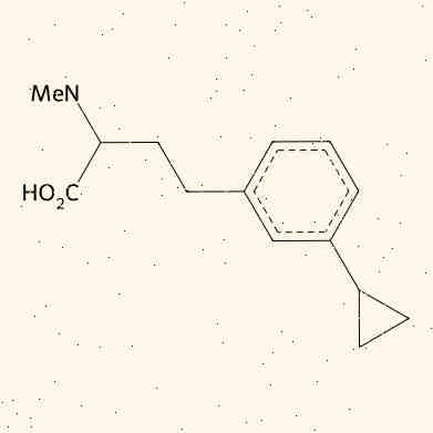 CNC(CCc1cccc(C2CC2)c1)C(=O)O